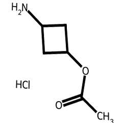 CC(=O)OC1CC(N)C1.Cl